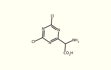 NC(C(=O)O)c1nc(Cl)nc(Cl)n1